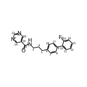 O=C(NCCCc1ccc(-c2ccccc2F)cc1)c1cncnc1